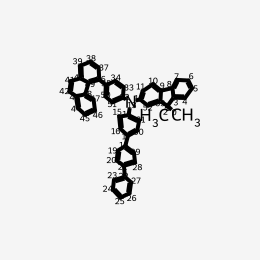 CC1(C)c2ccccc2-c2ccc(N(c3ccc(-c4ccc(-c5ccccc5)cc4)cc3)c3ccc(-c4cccc5ccc6ccccc6c45)cc3)cc21